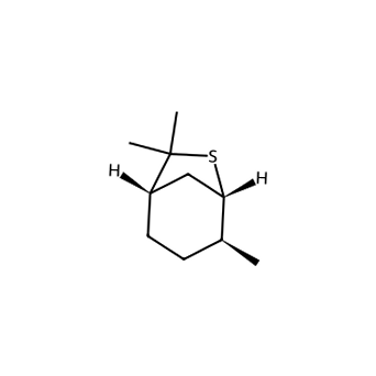 C[C@H]1CC[C@H]2C[C@@H]1SC2(C)C